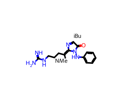 CC[C@H](C)C1=N/C(=C(\CCCNC(=N)N)NC)N(Nc2ccccc2)C1=O